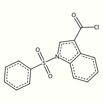 O=C(Cl)c1cn(S(=O)(=O)c2ccccc2)c2ccccc12